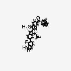 Cc1c(-c2cc3ccc(-c4ccc5cn[nH]c5c4F)cc3n2CC2CC2)nn2cc(C(=O)N3CC4CC5CC3[C@H]54)ccc12